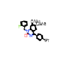 COc1cc2c(-c3ccc(C(C)C)cc3)nc(=O)n(Cc3ccccc3F)c2cc1OC